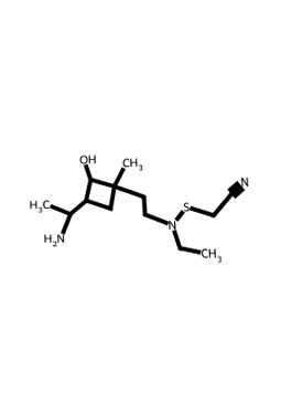 CCN(CCC1(C)CC(C(C)N)C1O)SCC#N